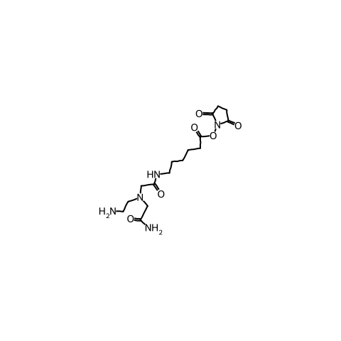 NCCN(CC(N)=O)CC(=O)NCCCCCC(=O)ON1C(=O)CCC1=O